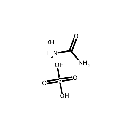 NC(N)=O.O=S(=O)(O)O.[KH]